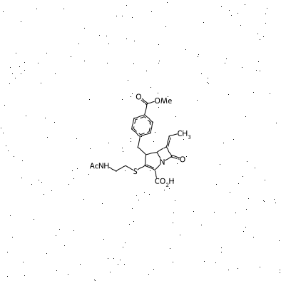 CC=C1C(=O)N2C(C(=O)O)=C(SCCNC(C)=O)C(Cc3ccc(C(=O)OC)cc3)C12